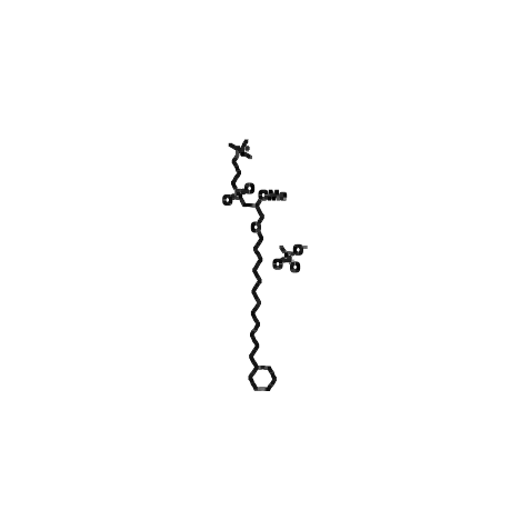 COC(COCCCCCCCCCCCCC1CCCCC1)CS(=O)(=O)CCC[N+](C)(C)C.CS(=O)(=O)[O-]